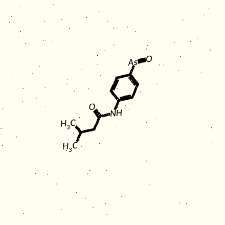 CC(C)CC(=O)Nc1ccc([As]=O)cc1